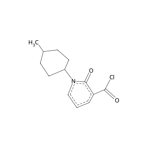 CC1CCC(n2cccc(C(=O)Cl)c2=O)CC1